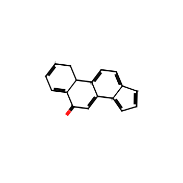 O=C1C=c2c(ccc3c2=CC=C3)C2CC=CC=C12